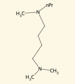 CCCN(C)CCCCN(C)C